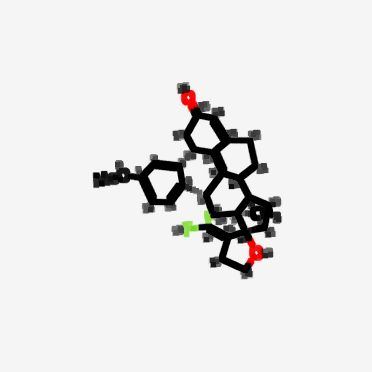 COc1ccc([C@H]2C[C@@]3(C)C(CC[C@]34OCCC4=C(F)F)C3CCC4=CC(=O)CCC4=C32)cc1